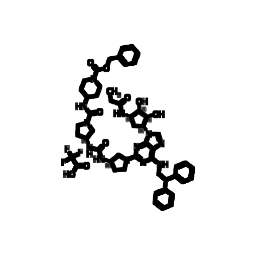 CCC(=O)N[C@H]1C[C@@H](n2cnc3c(NCC(c4ccccc4)c4ccccc4)nc(N4CC[C@@H](NC(=O)N[C@@H]5CCN(C(=O)NC6CCN(C(=O)OCc7ccccc7)CC6)C5)C4)nc32)[C@H](O)[C@@H]1O.O=C(O)C(F)(F)F